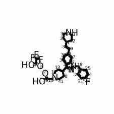 O=C(O)C(F)(F)F.O=C(O)CN1CCC(c2nn(Cc3ccc(F)cc3)c3cc(/C=C/C4CCNCC4)ccc23)CC1